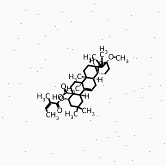 C/C=C(/C)C(=O)O[C@@H]1CC(C)(C)C[C@H]2C3=CC[C@@H]4[C@]56CC[C@](OC)(OC5)C(C)(C)[C@@H]6CC[C@@]4(C)[C@]3(C)CC[C@@]12C(=O)O